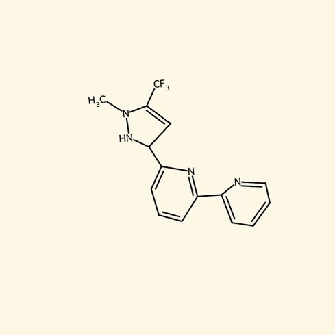 CN1NC(c2cccc(-c3ccccn3)n2)C=C1C(F)(F)F